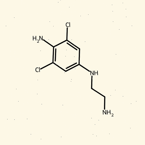 NCCNc1cc(Cl)c(N)c(Cl)c1